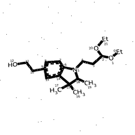 CCOC(CCN1c2ccc(CCO)cc2C(C)(C)C1C)OCC